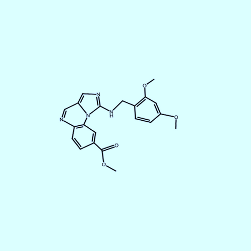 COC(=O)c1ccc2ncc3cnc(NCc4ccc(OC)cc4OC)n3c2c1